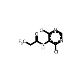 O=C(CC(F)(F)F)Nc1c(Cl)ncnc1Cl